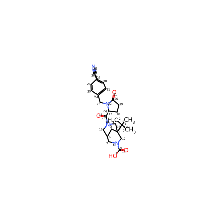 CC(C)(C)C12CC(CN(C(=O)O)C1)CN(C(=O)[C@@H]1CCC(=O)N1Cc1ccc(C#N)cc1)C2